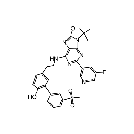 CC1(C)COc2nc3c(NCCc4ccc(O)c(-c5cccc(S(C)(=O)=O)c5)c4)nc(-c4cncc(F)c4)nc3n21